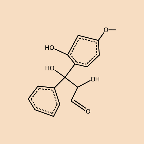 COc1ccc(C(O)(c2ccccc2)C(O)C=O)c(O)c1